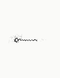 CCCCCCCCCCCCCCCCCCCCCCCCC1OC[C@@H](O)[C@H](O)[C@H]1O